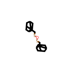 C1C2CC3CC1CC(C2)C3CSOSCC1C2CC3CC(C2)CC1C3